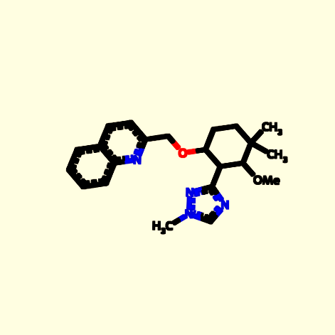 COC1C(c2ncn(C)n2)C(OCc2ccc3ccccc3n2)CCC1(C)C